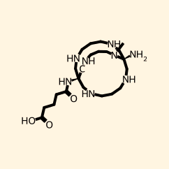 CN1CCCNC[C@]2(NC(=O)CCCC(=O)O)CNCCCNC[C@@]1(N)CNCCCNC2